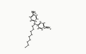 CCCCCCCCCC(c1ccc(N)cc1)c1ccc(N)cc1